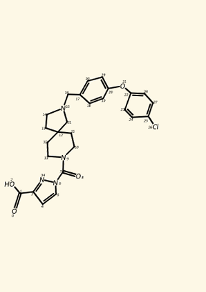 O=C(O)c1ccn(C(=O)N2CCC3(CCN(Cc4ccc(Oc5ccc(Cl)cc5)cc4)C3)CC2)n1